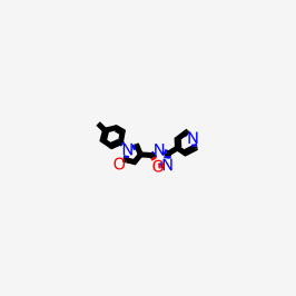 Cc1ccc(N2CC(c3nc(-c4ccncc4)no3)CC2=O)cc1